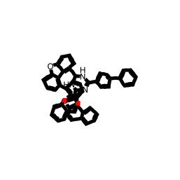 c1ccc(-c2ccc(C3=NC(c4ccc5ccccc5c4)NC(c4cccc5oc6cccc(-c7cccc8c7oc7ccc9ccccc9c78)c6c45)N3)cc2)cc1